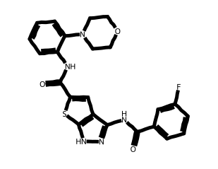 O=C(Nc1n[nH]c2sc(C(=O)Nc3ccccc3N3CCOCC3)cc12)c1cccc(F)c1